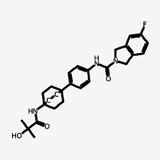 CC(C)(O)C(=O)NC12CCC(c3ccc(NC(=O)N4Cc5ccc(F)cc5C4)cc3)(CC1)CC2